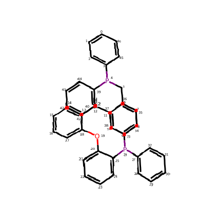 c1ccc(P(Cc2ccccc2[SiH2]c2ccccc2Oc2ccccc2P(c2ccccc2)c2ccccc2)c2ccccc2)cc1